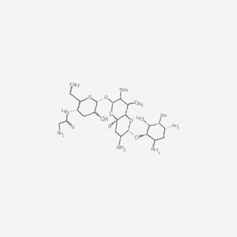 CNC1C(O[C@H]2OC(CO)[C@@H](NC(=O)CN)CC2O)O[C@H]2CC(N)[C@@H](O[C@@H]3C(N)C[C@@H](N)C(O)C3O)OC2C1O